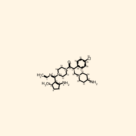 C=C/N=C(\C1=C(N)CC[C@H]1C)N1CCN(C(=O)[C@H](CN2CCC(N)CC2)c2ccc(Cl)cc2)CC1